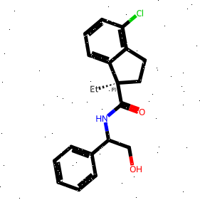 CC[C@@]1(C(=O)NC(CO)c2ccccc2)CCc2c(Cl)cccc21